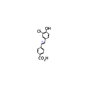 O=C(O)c1ccc(/C=C/c2ccc(O)c(Cl)c2)cc1